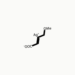 COCC=CC(=O)[O-].[Ag+]